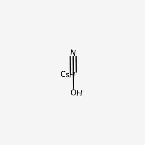 N#CO.[CsH]